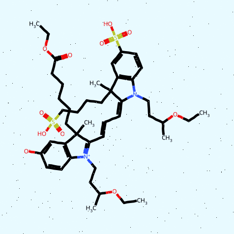 CCOC(=O)CCCCCC1(C)C(/C=C/C=C2/N(CCC(C)OCC)c3ccc(S(=O)(=O)O)cc3C2(C)CCCCS(=O)(=O)O)=[N+](CCC(C)OCC)c2ccc([O-])cc21